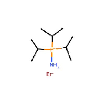 CC(C)[P+](N)(C(C)C)C(C)C.[Br-]